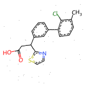 Cc1cccc(-c2cccc(C(CC(=O)O)c3nccs3)c2)c1Cl